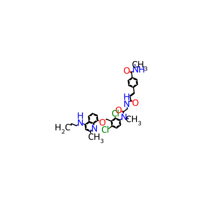 C=CCNc1cc(C)nc2c(OCc3c(Cl)ccc(N(C)C(=O)CNC(=O)C=Cc4ccc(C(=O)NC)cc4)c3Cl)cccc12